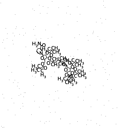 CC(C)(C)C(=O)OCC1O[C@@H](N2C=CCC(C(N)=O)=C2)[C@H](OC(=O)C(C)(C)C)[C@@H]1OC(=O)C(C)(C)CCC(C)(C)C(=O)OCC1OC(OC(=O)C(C)(C)C)[C@H](OC(=O)C(C)(C)C)[C@@H]1OC(=O)C(C)(C)C